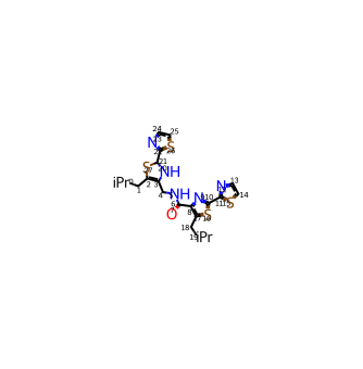 CC(C)CC1=C(CNC(=O)c2nc(-c3nccs3)sc2CC(C)C)NC(c2nccs2)S1